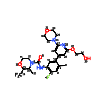 Cc1cc(F)c(NC(=O)N2CCO[C@H](C(F)(F)F)[C@@H]2C)cc1-c1cc(OCCO)nc(N2CCOCC2)c1